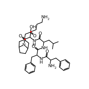 CC(C)CC(NC(=O)C(Cc1ccccc1)NC(=O)C(N)Cc1ccccc1)C(=O)NC(CCCCN)C(=O)N1C2CCC1CN(CC(=O)O)C2